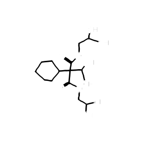 CC(C)COC(=O)C(C(=O)OCC(C)C)(C(C)C)C1CCCCC1